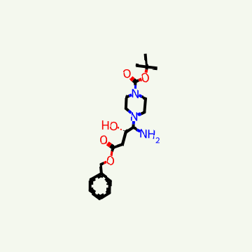 CC(C)(C)OC(=O)N1CCN(C(N)[C@@H](O)CC(=O)OCc2ccccc2)CC1